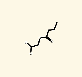 CCCC(=O)OCC(Cl)Cl